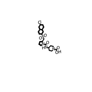 O=C(O)N1CCC(NC(=O)n2cccc2CS(=O)(=O)c2ccc3cc(Cl)ccc3c2)CC1